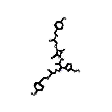 C[C@H]1[C@H](NC(=O)/C(=N\OCC(=O)OCc2ccc([N+](=O)[O-])cc2)c2csc(N)n2)C(=O)N1OCC(=O)OCc1ccc([N+](=O)[O-])cc1